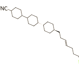 N#CC1CCC(C2CCC([C@H]3CC[C@H](CC/C=C/CCCF)CC3)CC2)CC1